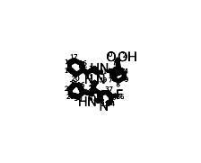 O=C(O)C1C2CCC(CC2)C1Nc1cc(-c2ccccc2)nc(-c2c(-c3ccccc3)[nH]c3ncc(F)cc23)n1